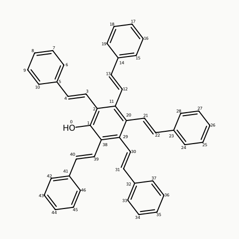 Oc1c(C=Cc2ccccc2)c(C=Cc2ccccc2)c(C=Cc2ccccc2)c(C=Cc2ccccc2)c1C=Cc1ccccc1